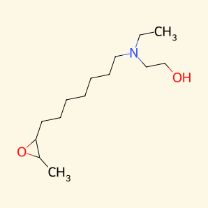 CCN(CCO)CCCCCCCC1OC1C